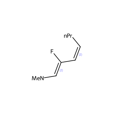 CCC/C=C\C(F)=C\NC